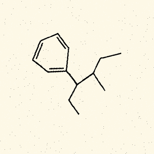 CCC(C)C(CC)c1ccccc1